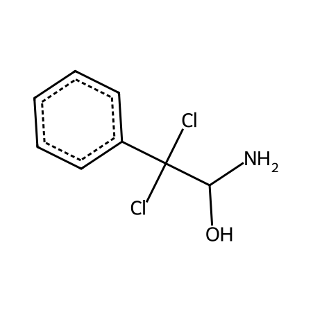 NC(O)C(Cl)(Cl)c1ccccc1